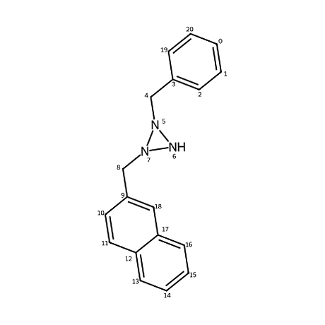 c1ccc(Cn2[nH]n2Cc2ccc3ccccc3c2)cc1